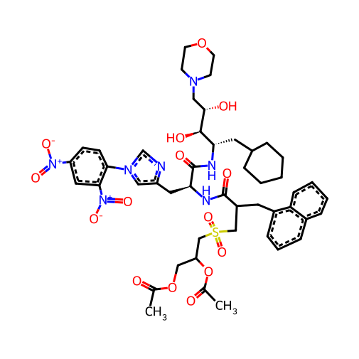 CC(=O)OCC(CS(=O)(=O)CC(Cc1cccc2ccccc12)C(=O)N[C@@H](Cc1cn(-c2ccc([N+](=O)[O-])cc2[N+](=O)[O-])cn1)C(=O)N[C@@H](CC1CCCCC1)[C@@H](O)[C@@H](O)CN1CCOCC1)OC(C)=O